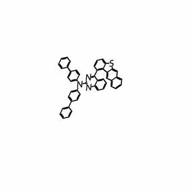 c1ccc(-c2ccc(N(c3ccc(-c4ccccc4)cc3)c3nc(-c4cccc5sc6cc7ccccc7cc6c45)c4ccccc4n3)cc2)cc1